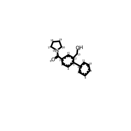 O=C(c1ccc(-c2ccccc2)c(CO)c1)N1CCCC1